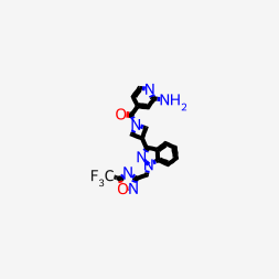 Nc1cc(C(=O)N2CC(c3nn(Cc4noc(C(F)(F)F)n4)c4ccccc34)C2)ccn1